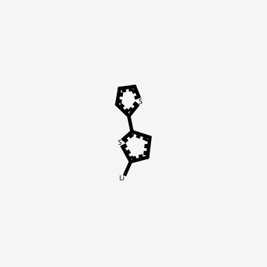 [Li][c]1ccc(-c2cccs2)s1